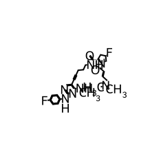 CNc1nc(Nc2ccc(F)cc2)ncc1C#CCCCNC(=O)[C@@H]1C[C@H](F)CN1C(=O)/C=C/CN(C)C